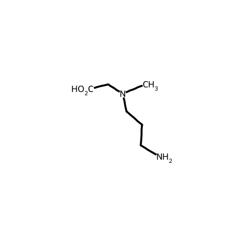 CN(CCCN)CC(=O)O